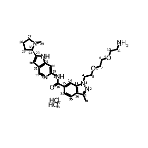 Cc1nn(CCOCCOCCN)c2cc(C(=O)Nc3cc4[nH]c([C@H]5CCCN5C)cc4cn3)ccc12.Cl.Cl